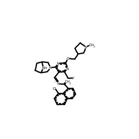 C=C(/N=C\c1c(CF)nc(OCC2CCN(C)C2)nc1N1CC2CCC(C1)N2)c1cccc2cccc(Cl)c12